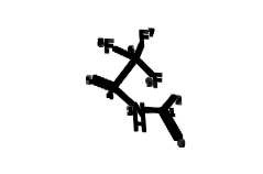 C=C(C)NC(=C)C(F)(F)F